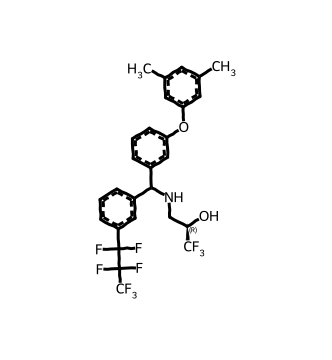 Cc1cc(C)cc(Oc2cccc(C(NC[C@@H](O)C(F)(F)F)c3cccc(C(F)(F)C(F)(F)C(F)(F)F)c3)c2)c1